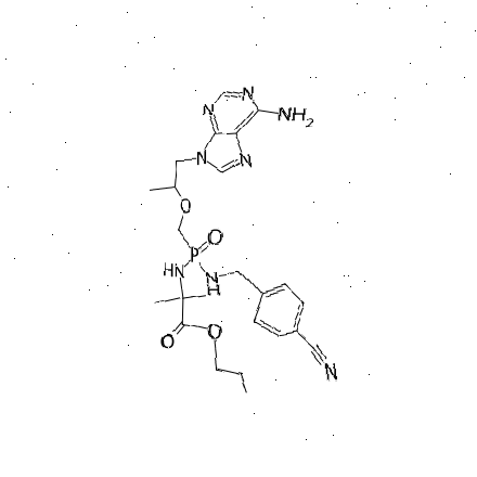 CCCOC(=O)C(C)(C)NP(=O)(COC(C)Cn1cnc2c(N)ncnc21)NCc1ccc(C#N)cc1